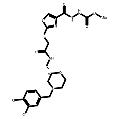 CC(C)(C)OC(=O)NNC(=O)c1csc(SCC(=O)NC[C@H]2CN(Cc3ccc(Cl)c(Cl)c3)CCO2)n1